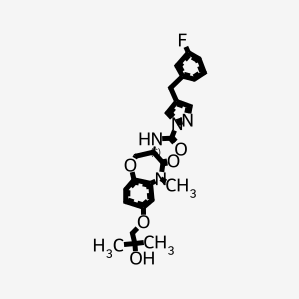 CN1C(=O)[C@@H](NC(=O)n2cc(Cc3cccc(F)c3)cn2)COc2ccc(OCC(C)(C)O)cc21